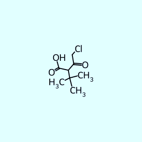 CC(C)(C)C(C(=O)O)C(=O)CCl